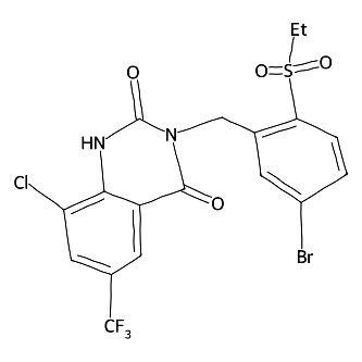 CCS(=O)(=O)c1ccc(Br)cc1Cn1c(=O)[nH]c2c(Cl)cc(C(F)(F)F)cc2c1=O